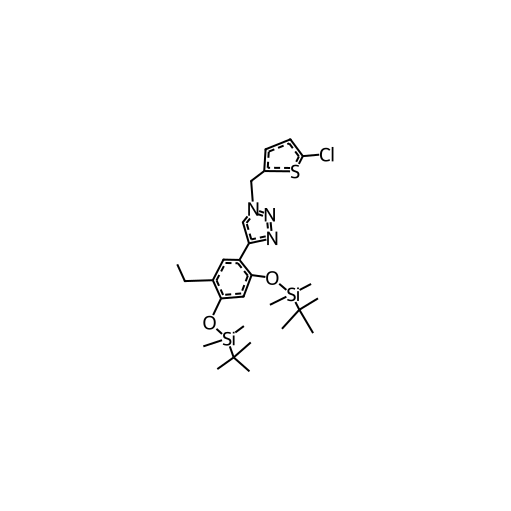 CCc1cc(-c2cn(Cc3ccc(Cl)s3)nn2)c(O[Si](C)(C)C(C)(C)C)cc1O[Si](C)(C)C(C)(C)C